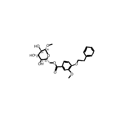 COc1cc(C(=O)OC[C@H]2O[C@@H](OC)[C@H](O)[C@@H](O)[C@@H]2O)ccc1OCCc1ccccc1